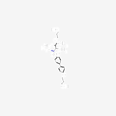 C/C=C(\C(C)[C@@H](C)[C@@H](C)OCCCO)S(=O)(=O)c1ccc(-c2ccc(OCCCO)cc2)cc1